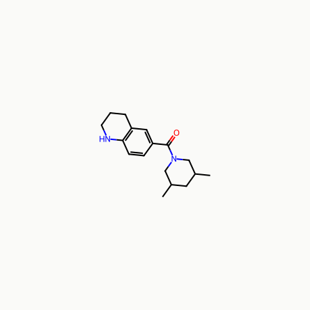 CC1CC(C)CN(C(=O)c2ccc3c(c2)CCCN3)C1